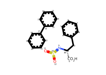 O=C(O)[C@@H](Cc1ccccc1)N=S(=O)=O.c1ccc(-c2ccccc2)cc1